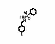 Cc1ccc(/C=N/NS(=O)(=O)c2ccccc2)cc1